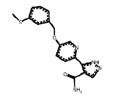 CSc1cccc(COc2ccc(-c3[nH]ncc3C(N)=O)nc2)c1